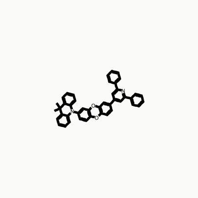 CC1(C)c2ccccc2N(c2ccc3c(c2)Oc2cc(-c4cc(-c5ccccc5)nc(-c5ccccc5)c4)ccc2O3)c2ccccc21